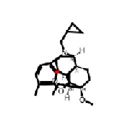 CO[C@]12CC[C@@]3(C[C@@H]1C(C)=O)[C@H]1Cc4ccc(C)c5c4[C@@]3(CCN1CC1CC1)C2O5